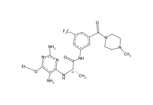 CCOc1nc(N)nc(N[C@@H](C)C(=O)Nc2cc(C(=O)N3CCN(C)CC3)cc(C(F)(F)F)c2)c1N